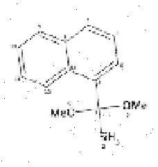 COC([SiH3])(OC)c1cccc2ccccc12